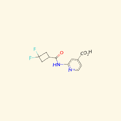 O=C(O)c1ccnc(NC(=O)C2CC(F)(F)C2)c1